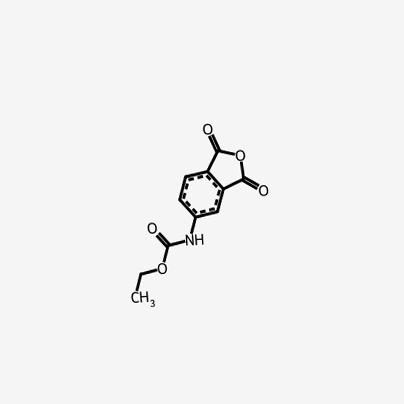 CCOC(=O)Nc1ccc2c(c1)C(=O)OC2=O